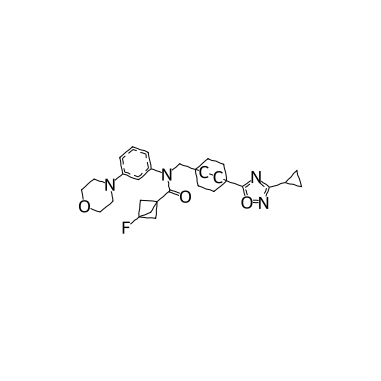 O=C(N(CC12CCC(c3nc(C4CC4)no3)(CC1)CC2)c1cccc(N2CCOCC2)c1)C12CC(F)(C1)C2